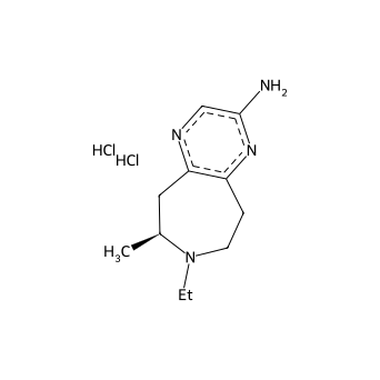 CCN1CCc2nc(N)cnc2C[C@@H]1C.Cl.Cl